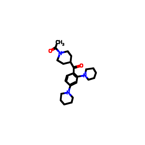 CC(=O)N1CCC(C(=O)c2ccc(N3CCCCC3)cc2N2CCCCC2)CC1